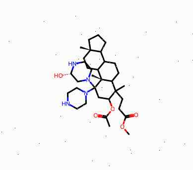 COC(=O)CCC1(C)C(OC(C)=O)CC(N2CCNCC2)(N2CCN[C@@H](O)C2)[C@]2(C)C3CC[C@]4(C)CCCC4C3CCC12